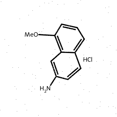 COc1cccc2ccc(N)cc12.Cl